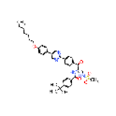 CCCCCCCOc1ccc(-c2cnc(-c3ccc(C(=O)[C@H](CNS(C)(=O)=O)NC(=O)c4ccc(C(C)(C)C)cc4)cc3)nc2)cc1